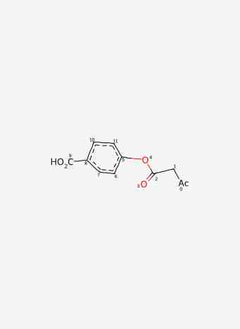 CC(=O)CC(=O)Oc1ccc(C(=O)O)cc1